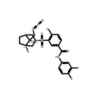 [N-]=[N+]=NC[C@@]1(O)C2CC[C@H]1C[C@H](S(=O)(=O)c1cc(C(=O)Nc3ccc(F)c(F)c3)ccc1Cl)C2